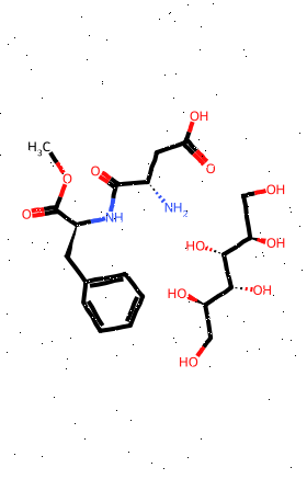 COC(=O)[C@H](Cc1ccccc1)NC(=O)[C@@H](N)CC(=O)O.OC[C@@H](O)[C@@H](O)[C@H](O)[C@H](O)CO